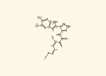 C=C(C(=O)Nc1c[nH]nc1-c1nc2cc(Cl)c(Cl)cc2[nH]1)/C(F)=C\C=C/CF